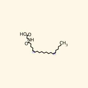 CCCCC/C=C\CCCCCCC/C=C\CCCC(=O)NCC(=O)O